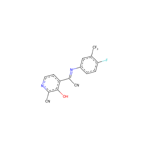 N#C/C(=N\c1ccc(F)c(C(F)(F)F)c1)c1ccnc(C#N)c1O